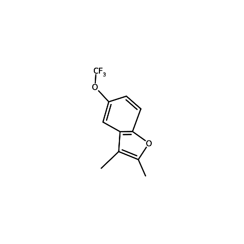 Cc1oc2ccc(OC(F)(F)F)cc2c1C